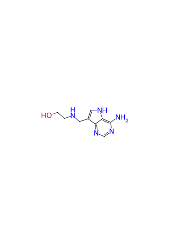 Nc1ncnc2c(CNCCO)c[nH]c12